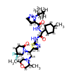 [2H]C([2H])([2H])C([2H])([2H])n1nccc1C(=O)N[C@H](C(=O)Nc1ncc([C@@H](CN2C[C@H](C)OC[C@@H]2C)N2CC(F)(F)CCC2=O)s1)C1CCC(C)CC1